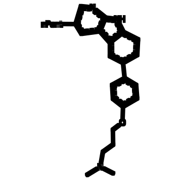 CCCCCc1cnc2[nH]c3ccc(-c4ccc(OCCCN(C)C)cc4)cc3c2c1